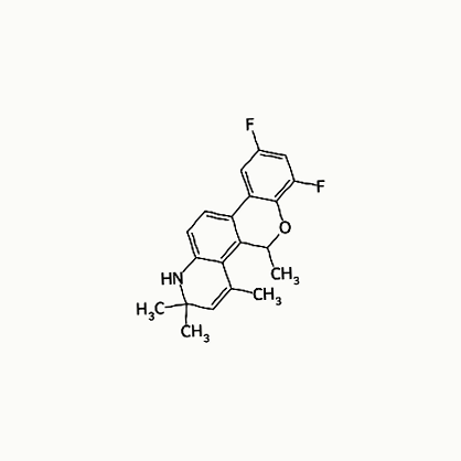 CC1=CC(C)(C)Nc2ccc3c(c21)C(C)Oc1c(F)cc(F)cc1-3